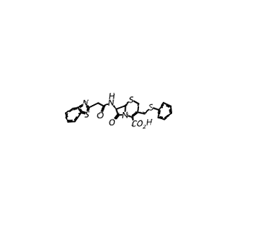 O=C(Cc1nc2ccccc2s1)N[C@@H]1C(=O)N2C(C(=O)O)=C(CSc3ccccc3)CSC12